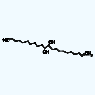 [CH]=CCCCCCCCCC(O)C(O)CCCCCCCCC=C